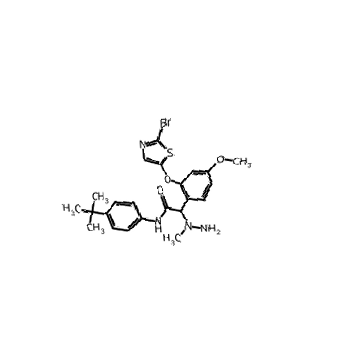 COc1ccc(C(C(=O)Nc2ccc(C(C)(C)C)cc2)N(C)N)c(Oc2cnc(Br)s2)c1